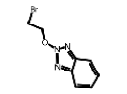 BrCCOn1nc2ccccc2n1